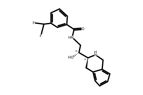 O=C(NC[C@@H](O)[C@@H]1Cc2ccccc2CN1)c1cccc(C(F)F)c1